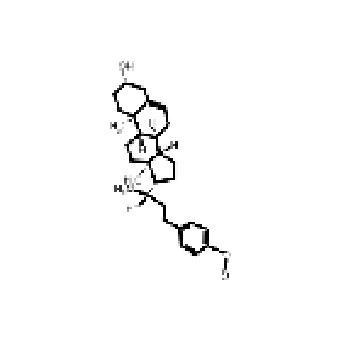 CCOc1ccc(CCC(C)(O)[C@H]2CC[C@H]3[C@@H]4CC=C5C[C@@H](O)CC[C@]5(C)[C@H]4CC[C@]23C)cc1